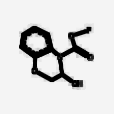 O=C(OF)N1c2ccccc2OCC1O